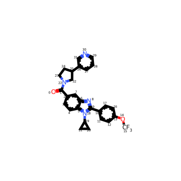 O=C(c1ccc2c(c1)nc(-c1ccc(OC(F)(F)F)cc1)n2C1CC1)N1CCC(c2cccnc2)C1